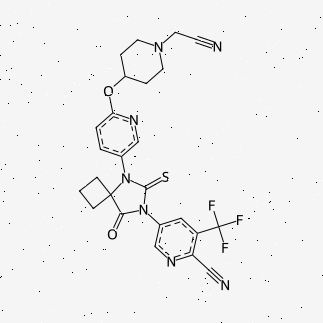 N#CCN1CCC(Oc2ccc(N3C(=S)N(c4cnc(C#N)c(C(F)(F)F)c4)C(=O)C34CCC4)cn2)CC1